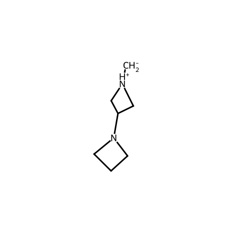 [CH2-][NH+]1CC(N2CCC2)C1